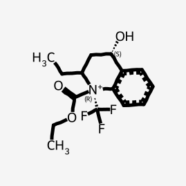 CCOC(=O)[N@+]1(C(F)(F)F)c2ccccc2[C@@H](O)CC1CC